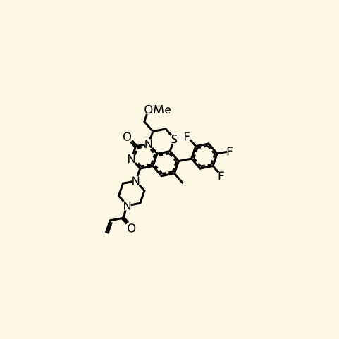 C=CC(=O)N1CCN(c2nc(=O)n3c4c(c(-c5cc(F)c(F)cc5F)c(C)cc24)SCC3COC)CC1